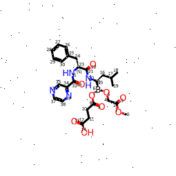 COC(=O)COB(OC(=O)CCC(=O)O)[C@H](CC(C)C)NC(=O)[C@H](Cc1ccccc1)NC(=O)c1cnccn1